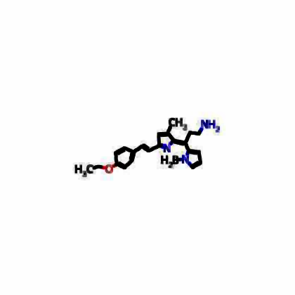 Bn1cccc1/C(CCN)=C1N=C(/C=C/c2ccc(OCC)cc2)C=C\1C